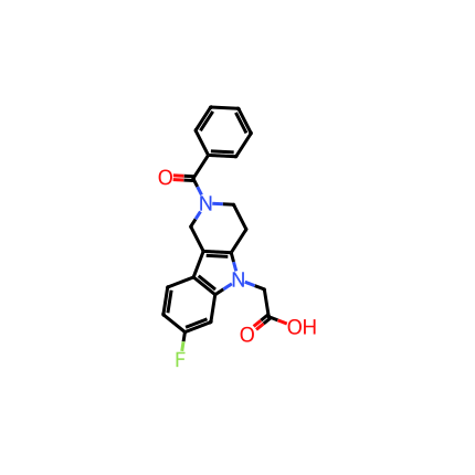 O=C(O)Cn1c2c(c3ccc(F)cc31)CN(C(=O)c1ccccc1)CC2